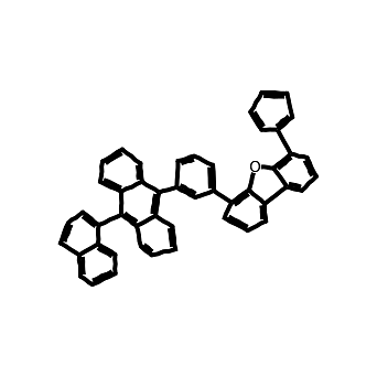 c1ccc(-c2cccc3c2oc2c(-c4cccc(-c5c6ccccc6c(-c6cccc7ccccc67)c6ccccc56)c4)cccc23)cc1